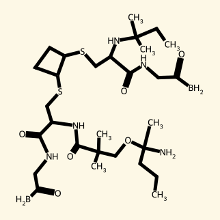 BC(=O)CNC(=O)C(CSC1CCC1SCC(NC(C)(C)CC)C(=O)NCC(B)=O)NC(=O)C(C)(C)COC(C)(N)CCC